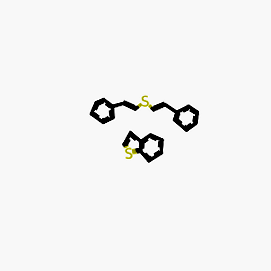 C(=Cc1ccccc1)SC=Cc1ccccc1.c1ccc2sccc2c1